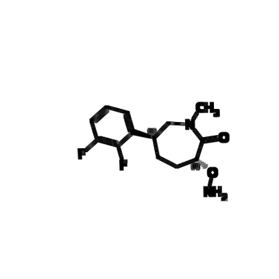 CN1C[C@H](c2cccc(F)c2F)CC[C@@H](ON)C1=O